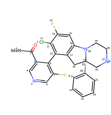 CNC(=O)c1cncc(F)c1-c1c(Cl)c(F)cc2c1C[C@]1(c3ccccc3)CNCCN21